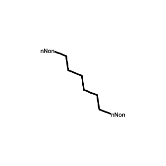 CCCCCC[CH]CCCCCCCCCCCCCCCCC